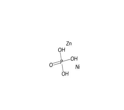 O=P(O)(O)O.[Ni].[Zn]